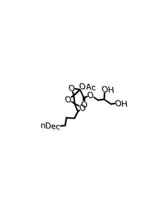 CCCCCCCCCCCCCC1OC12OC21OC1(OC(C)=O)C(=O)OCC(O)CO